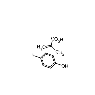 C=C(C)C(=O)O.Oc1ccc(I)cc1